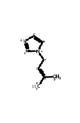 CC(C)=CCn1ccnn1